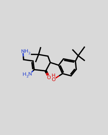 CC(C)(C)CC(C(=O)C(N)=CCN)c1cc(C(C)(C)C)ccc1O